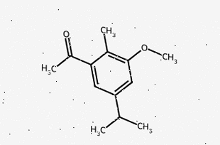 COc1cc(C(C)C)cc(C(C)=O)c1C